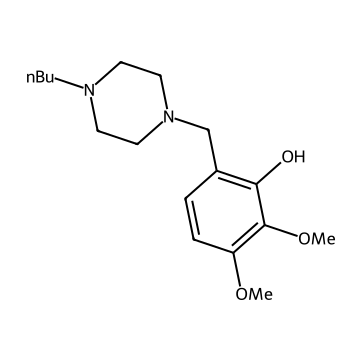 CCCCN1CCN(Cc2ccc(OC)c(OC)c2O)CC1